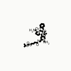 CC(C)OC(=O)OCCCC(=O)N=CC1CC(CN([C@H](Cc2ccccc2)C(=O)N2CCC[C@H]2C(N)=O)S(C)(=O)=O)CCN1N